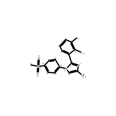 Cc1cccc(-c2nc(C(F)(F)F)cn2-c2ccc(S(C)(=O)=O)cc2)c1F